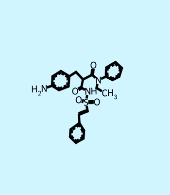 CCN(C(=O)C(Cc1ccc(N)cc1)C(=O)NS(=O)(=O)C=Cc1ccccc1)c1ccccc1